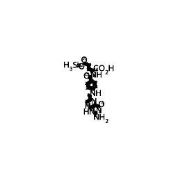 Nc1nc(=O)c2nc(CNc3ccc(C(=O)N[C@@H](CCC(=O)O[SiH3])C(=O)O)cc3)cnc2[nH]1